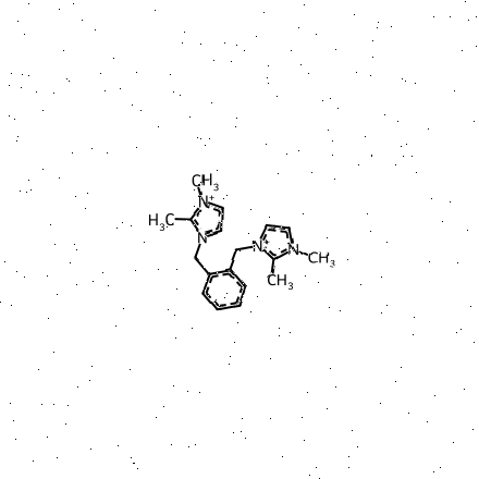 Cc1n(Cc2ccccc2C[n+]2ccn(C)c2C)cc[n+]1C